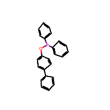 c1ccc(-c2ccc(OP(c3ccccc3)c3ccccc3)cc2)cc1